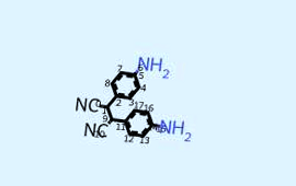 N#CC(c1ccc(N)cc1)C(C#N)c1ccc(N)cc1